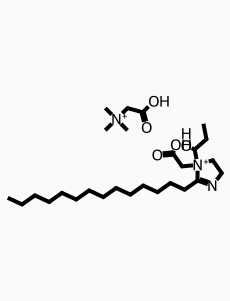 CCCCCCCCCCCCCCC1=NCC[N+]1(CC(=O)O)C(O)CC.C[N+](C)(C)CC(=O)O